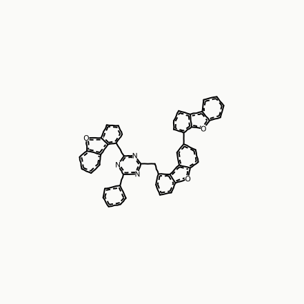 c1ccc(-c2nc(Cc3cccc4oc5ccc(-c6cccc7c6oc6ccccc67)cc5c34)nc(-c3cccc4oc5ccccc5c34)n2)cc1